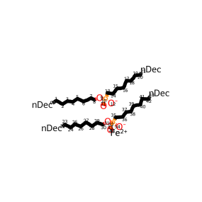 CCCCCCCCCCCCCCCCCCOP(=O)([O-])CCCCCCCCCCCCCCCCCC.CCCCCCCCCCCCCCCCCCOP(=O)([O-])CCCCCCCCCCCCCCCCCC.[Fe+2]